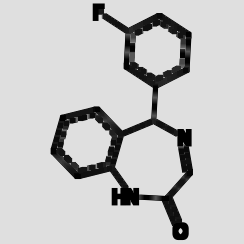 O=C1C=NC(c2cccc(F)c2)c2ccccc2N1